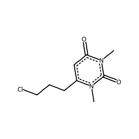 Cn1c(CCCCl)cc(=O)n(C)c1=O